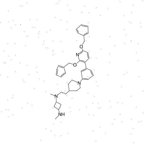 CNC1CC(N(C)CCC2CCN(c3cccc(-c4ccc(OCc5ccccc5)nc4OCc4ccccc4)c3)CC2)C1